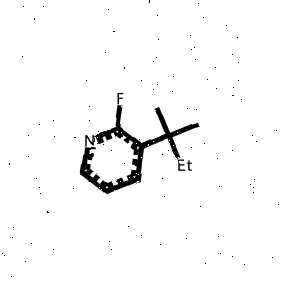 CCC(C)(C)c1cccnc1F